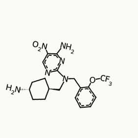 Nc1nc(N(Cc2ccccc2OC(F)(F)F)C[C@H]2CC[C@H](N)CC2)ncc1[N+](=O)[O-]